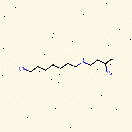 [Li][CH](N)CCNCCCCCCCN